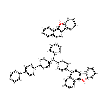 c1ccc(-c2ccc(-c3ccc(C(c4ccc(-c5cc6c7ccccc7oc6c6ccccc56)cc4)c4ccc(-c5cc6c7ccccc7oc6c6ccccc56)cc4)cc3)cc2)cc1